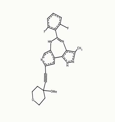 COC1(C#Cc2cc3c(cn2)NC(c2c(F)cccc2F)=Nc2c(C)n[nH]c2-3)CCOCC1